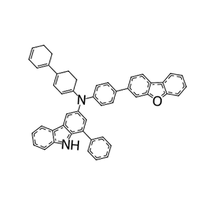 C1=CCCC(C2=CC=C(N(c3ccc(-c4ccc5c(c4)oc4ccccc45)cc3)c3cc(-c4ccccc4)c4[nH]c5ccccc5c4c3)CC2)=C1